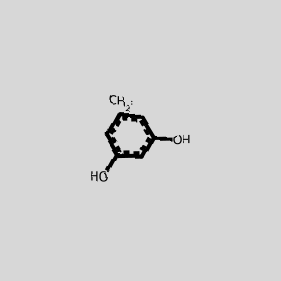 Oc1cccc(O)c1.[CH2]